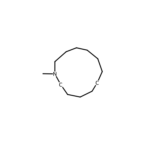 CN1CCCCCCCCCCC1